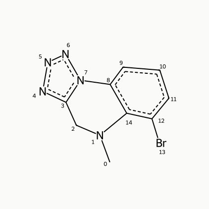 CN1Cc2nnnn2-c2cccc(Br)c21